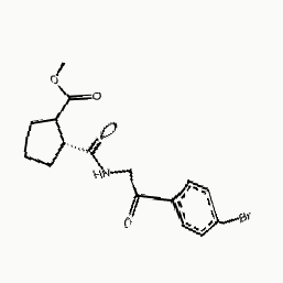 COC(=O)C1CCC[C@H]1C(=O)NCC(=O)c1ccc(Br)cc1